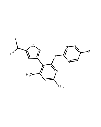 Cc1cc(C)c(-c2cc(C(F)F)on2)c(Oc2ncc(F)cn2)n1